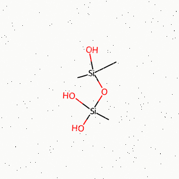 C[Si](C)(O)O[Si](C)(O)O